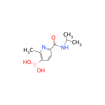 Cc1nc(C(=O)NC(C)C)ccc1B(O)O